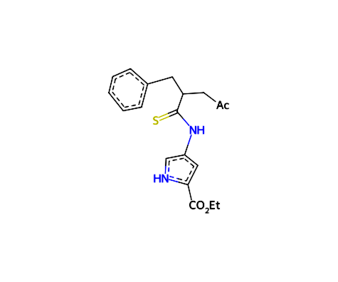 CCOC(=O)c1cc(NC(=S)C(CC(C)=O)Cc2ccccc2)c[nH]1